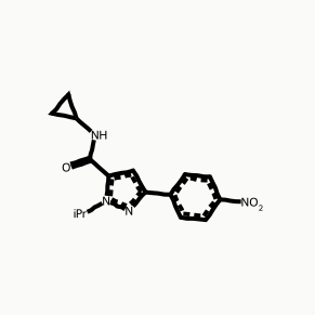 CC(C)n1nc(-c2ccc([N+](=O)[O-])cc2)cc1C(=O)NC1CC1